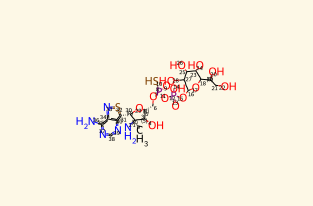 C[C@@]1(N)[C@H](O)[C@@H](COP(=O)(S)OP(=O)(O)OC2OC([C@@H](O)CO)C(O)C(O)C2O)O[C@H]1c1snc2c(N)ncnc12